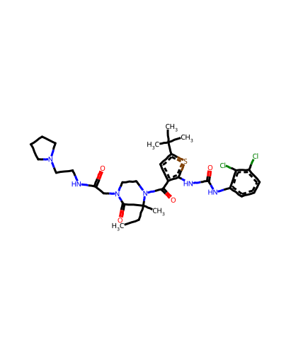 CCC1(C)C(=O)N(CC(=O)NCCN2CCCC2)CCN1C(=O)c1cc(C(C)(C)C)sc1NC(=O)Nc1cccc(Cl)c1Cl